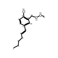 CCCCC=Cc1ccc(Cl)c(COOC)c1